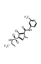 C[C@@H](NS(=O)(=O)c1cn(C)c(C(=O)Nc2ccnc(C(F)(F)F)c2)c1Cl)C(F)(F)F